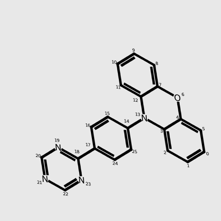 c1ccc2c(c1)Oc1ccccc1N2c1ccc(-c2ncncn2)cc1